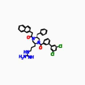 N=C(N)NCCC[C@H]1CN(C(=O)Cc2ccc3ccccc3c2)[C@H](Cc2ccccc2)CN1C(=O)c1cccc(-c2cc(Cl)cc(Cl)c2)c1